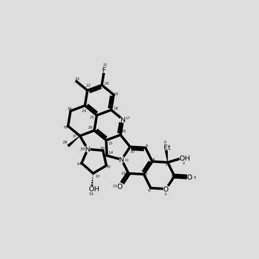 CC[C@@]1(O)C(=O)OCc2c1cc1n(c2=O)Cc2c-1nc1cc(F)c(C)c3c1c2[C@](C)(N1CC[C@H](O)C1)CC3